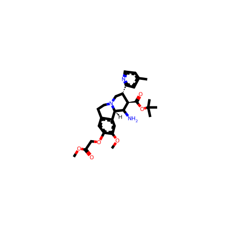 COC(=O)COc1cc2c(cc1OC)[C@@H]1C(N)[C@H](C(=O)OC(C)(C)C)[C@@H](c3cc(C)ccn3)CN1CC2